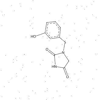 O=C1CN(Sc2cccc(O)c2)C(=O)N1